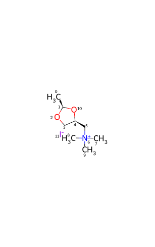 C[C@@H]1OC[C@H](C[N+](C)(C)C)O1.[I-]